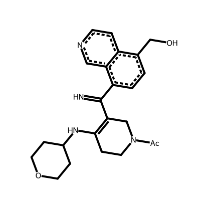 CC(=O)N1CCC(NC2CCOCC2)=C(C(=N)c2ccc(CO)c3ccncc23)C1